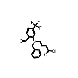 O=Cc1ccc(C(F)(F)F)cc1N(CCCC(=O)O)Cc1ccccc1